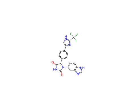 O=C1NC(=O)N(c2ccc3[nH]cnc3c2)C1c1ccc(-c2c[nH]c(C(F)(F)F)n2)cc1